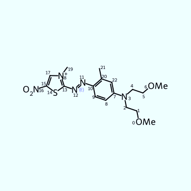 COCCN(CCOC)c1ccc(/N=N/c2sc([N+](=O)[O-])c[n+]2C)c(C)c1